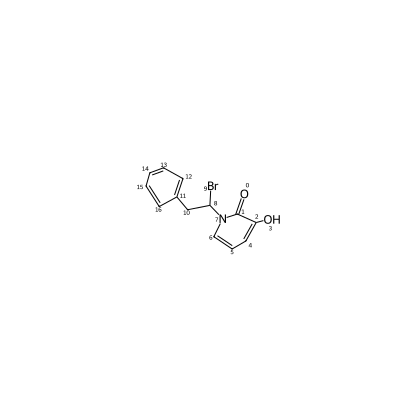 O=c1c(O)cccn1C(Br)Cc1ccccc1